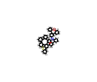 c1ccc(-c2ccccc2N(c2ccc3c(c2)-c2ccccc2Oc2ccccc2-3)c2ccc3c(c2)c2ccccc2c2ccccc2c2ccccc2c2c3ccc3c4ccccc4sc32)cc1